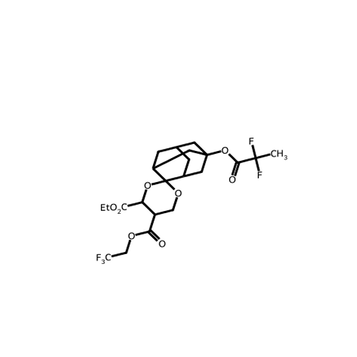 CCOC(=O)C1OC2(OCC1C(=O)OCC(F)(F)F)C1CC3CC2CC(OC(=O)C(C)(F)F)(C3)C1